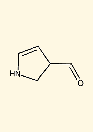 O=CC1C=CNC1